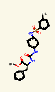 Cc1cccc(S(=O)(=O)Nc2ccc(NC(=O)N[C@@H](Cc3ccccc3)C(=O)OC(C)(C)C)cc2)c1